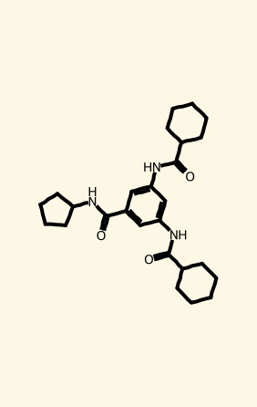 O=C(NC1CCCC1)c1cc(NC(=O)C2CCCCC2)cc(NC(=O)C2CCCCC2)c1